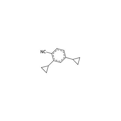 N#Cc1ccc(C2CC2)cc1C1CC1